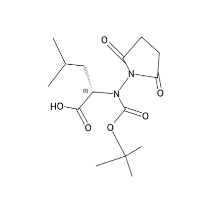 CC(C)C[C@@H](C(=O)O)N(C(=O)OC(C)(C)C)N1C(=O)CCC1=O